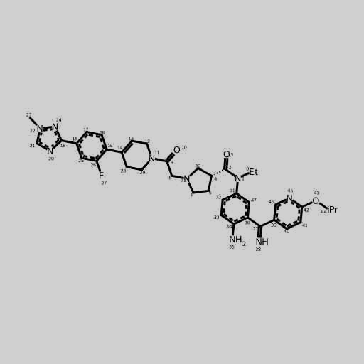 CCN(C(=O)[C@@H]1CCN(CC(=O)N2CC=C(c3ccc(-c4ncn(C)n4)cc3F)CC2)C1)c1ccc(N)c(C(=N)c2ccc(OC(C)C)nc2)c1